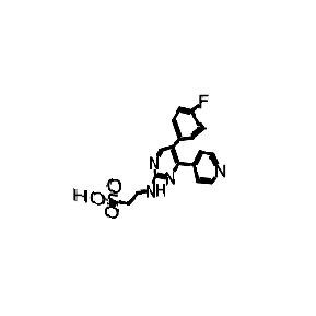 O=S(=O)(O)CCNc1ncc(-c2ccc(F)cc2)c(-c2ccncc2)n1